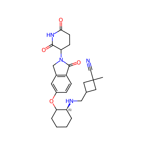 CC1(C#N)CC(CN[C@H]2CCCCC2Oc2ccc3c(c2)CN(C2CCC(=O)NC2=O)C3=O)C1